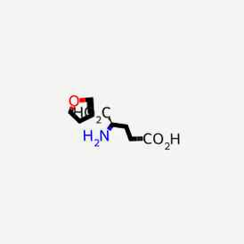 C1=COCC1.N[C@@H](CCC(=O)O)C(=O)O